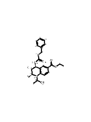 CCOC(=O)c1ccc2c(c1)[C@H](NC(=O)OCc1ccccc1)[C@@H](C)[C@H](C)N2C(C)O